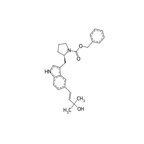 CC(C)(O)C=Cc1ccc2[nH]cc(C[C@H]3CCCN3C(=O)OCc3ccccc3)c2c1